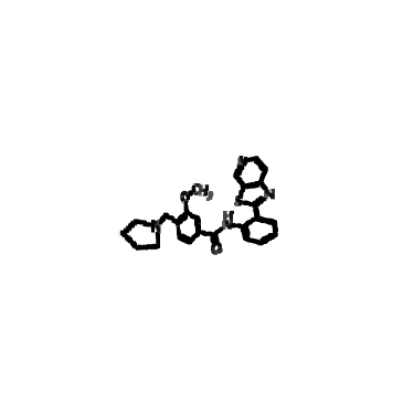 COc1cc(C(=O)Nc2ccccc2-c2nc3ccncc3s2)ccc1CN1CCCC1